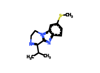 CSc1ccc2nc3n(c2c1)CCN=C3C(C)C